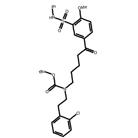 COc1ccc(C(=O)CCCCN(CCc2ccccc2Cl)C(=O)OC(C)(C)C)cc1S(=O)(=O)NC(C)C